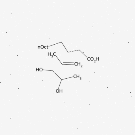 C=CC.CC(O)CO.CCCCCCCCCCCC(=O)O